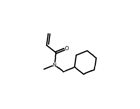 C=CC(=O)N(C)CC1CCCCC1